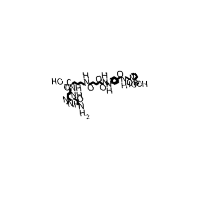 NCC(=O)CNC(Cc1c[nH]cn1)C(=O)NC(CCCCNC(=O)CCC(=O)C(=O)NNc1ccc(C(=O)NCC(=O)N2CCC[C@H]2B(O)O)cc1)C(=O)O